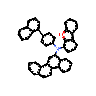 c1ccc2c(-c3ccc(N(c4cc5c6ccccc6ccc5c5ccccc45)c4cccc5c4oc4ccccc45)cc3)cccc2c1